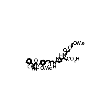 COCCOCC(=O)CNC(CC(=O)O)c1ccc(NCC(=O)Cc2ccc(NC(=O)Nc3ccccc3C)c(OC)c2)nc1